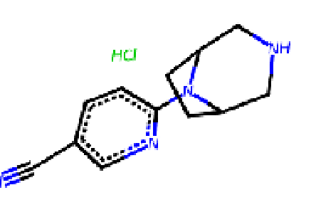 Cl.N#Cc1ccc(N2C3CCC2CNC3)nc1